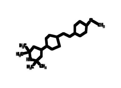 COC1CCC(CCC2CCC(C3CC(C)(C)NC(C)(C)C3)CC2)CC1